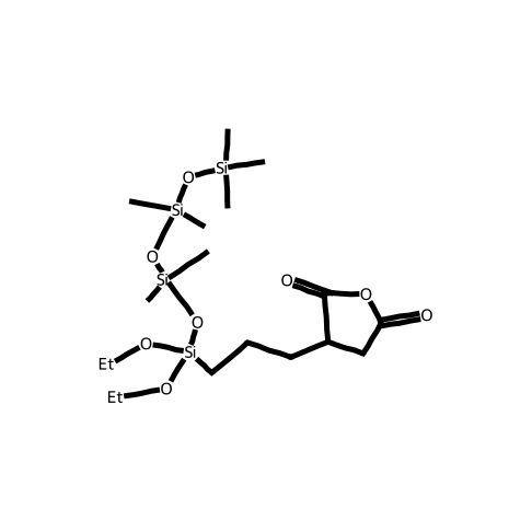 CCO[Si](CCCC1CC(=O)OC1=O)(OCC)O[Si](C)(C)O[Si](C)(C)O[Si](C)(C)C